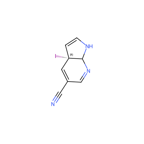 N#CC1=C[C@@]2(I)C=CNC2N=C1